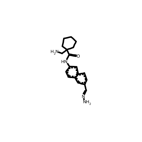 NCC1(C(=O)Nc2ccc3cc(C=NN)ccc3c2)CCCCC1